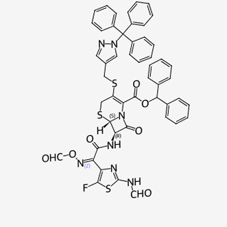 O=CNc1nc(/C(=N/OC=O)C(=O)N[C@@H]2C(=O)N3C(C(=O)OC(c4ccccc4)c4ccccc4)=C(SCc4cnn(C(c5ccccc5)(c5ccccc5)c5ccccc5)c4)CS[C@@H]23)c(F)s1